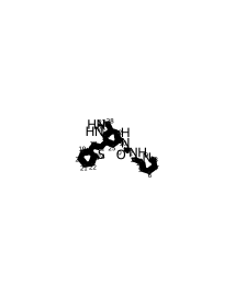 O=C(NCc1ccccn1)Nc1cc2c(c(-c3cc4ccccc4s3)c1)NNC2